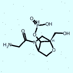 NCC(=O)N1C[C@]2(CO)OCC1C2O[PH](=O)O